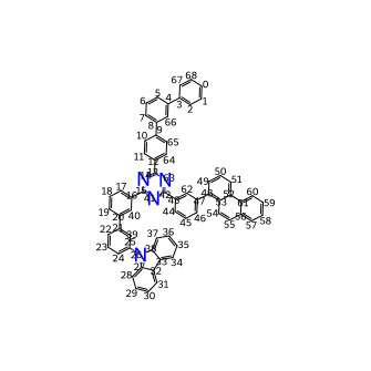 c1ccc(-c2cccc(-c3ccc(-c4nc(-c5cccc(-c6cccc(-n7c8ccccc8c8ccccc87)c6)c5)nc(-c5cccc(-c6cccc7c6ccc6ccccc67)c5)n4)cc3)c2)cc1